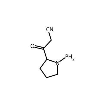 N#CCC(=O)C1CCCN1P